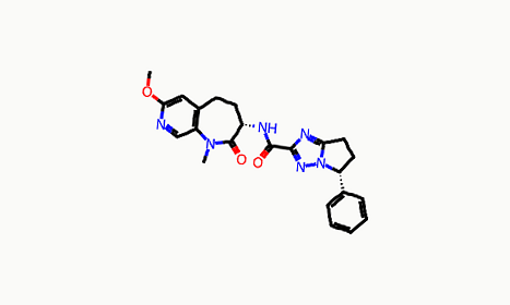 COc1cc2c(cn1)N(C)C(=O)[C@@H](NC(=O)c1nc3n(n1)[C@@H](c1ccccc1)CC3)CC2